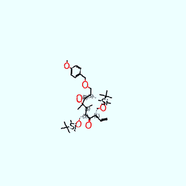 C=C[C@@H](CO[Si](C)(C)C(C)(C)C)C(=O)[C@H](CO[Si](C)(C)C(C)(C)C)[C@H](C)C1(C)O[C@@H]1[C@@H](C)COCc1ccc(OC)cc1